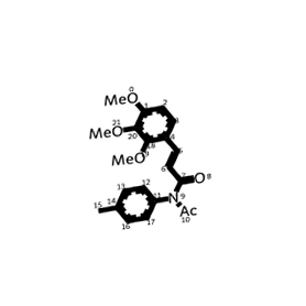 COc1ccc(C=CC(=O)N(C(C)=O)c2ccc(C)cc2)c(OC)c1OC